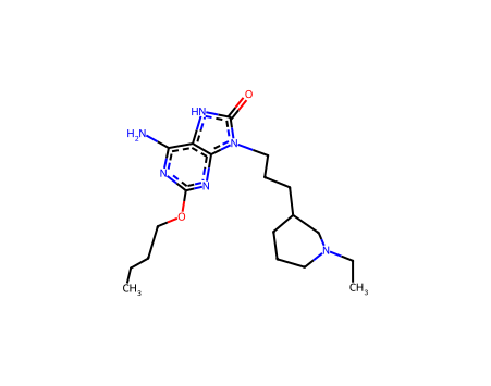 CCCCOc1nc(N)c2[nH]c(=O)n(CCCC3CCCN(CC)C3)c2n1